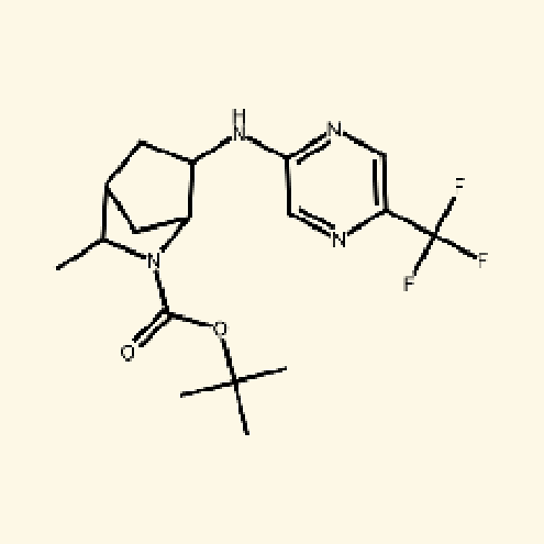 CC1C2CC(Nc3cnc(C(F)(F)F)cn3)C(C2)N1C(=O)OC(C)(C)C